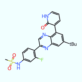 CC(C)(C)c1cc(-c2ccc[nH]c2=O)c2ncc(-c3ccc(NS(C)(=O)=O)cc3F)nc2c1